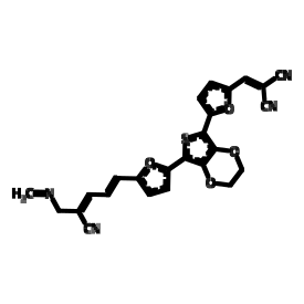 C=NC/C(C#N)=C/C=C/c1ccc(-c2sc(-c3ccc(C=C(C#N)C#N)o3)c3c2OCCO3)o1